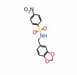 O=[N+]([O-])c1ccc(S(=O)(=O)NCc2ccc3c(c2)OCO3)cc1